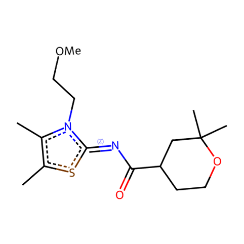 COCCn1c(C)c(C)s/c1=N\C(=O)C1CCOC(C)(C)C1